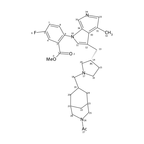 COC(=O)c1cc(F)ccc1-n1cc(C[C@@H]2CCN(CC3CC4CC(C3)CN(C(C)=O)C4)C2)c2c(C)cncc21